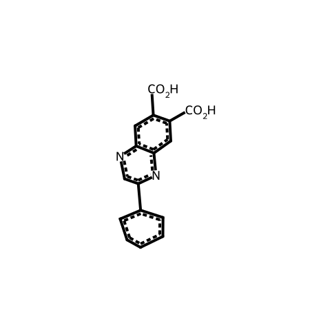 O=C(O)c1cc2ncc(-c3ccccc3)nc2cc1C(=O)O